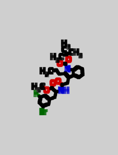 C=CCc1c(CC(=O)NC(Cc2cc(F)cc(Br)c2)C(=O)OC)c2ccccc2n1C(=O)OC(C)(C)C